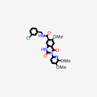 COc1cc2c(=O)n(-c3ccc(OC)c(OC)n3)c(=O)[nH]c2cc1C(=O)NCc1cccc(Cl)c1